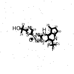 Cc1c(C(F)(F)F)nc2c(c1NC(=O)N=[S@@](N)(=O)c1cnc(C(C)(C)O)s1)C(C)CC2